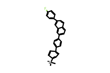 C[Si](C)(C)c1ccc(-c2ccc(-c3ccc4ccc(-c5ccc(F)cc5)cc4c3)cc2)cc1